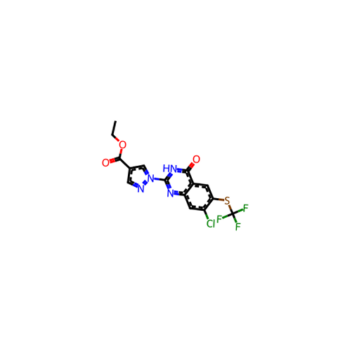 CCOC(=O)c1cnn(-c2nc3cc(Cl)c(SC(F)(F)F)cc3c(=O)[nH]2)c1